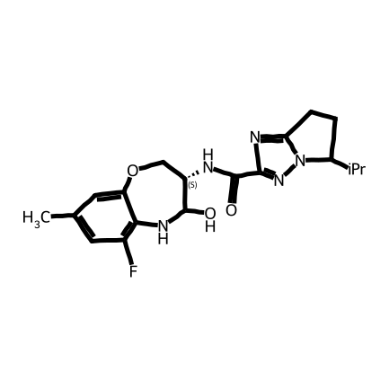 Cc1cc(F)c2c(c1)OC[C@H](NC(=O)c1nc3n(n1)C(C(C)C)CC3)C(O)N2